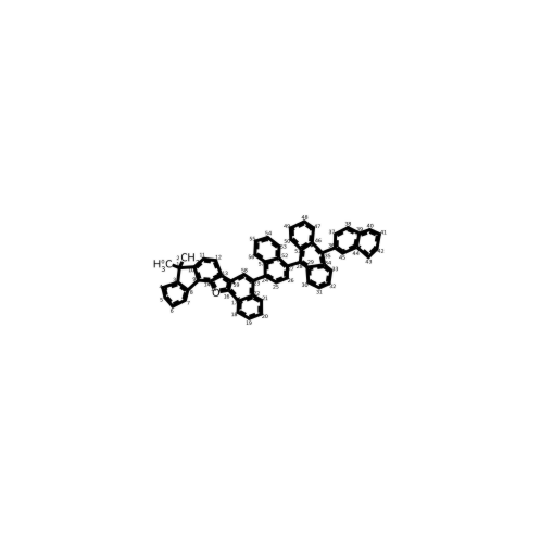 CC1(C)c2ccccc2-c2c1ccc1c2oc2c3ccccc3c(-c3ccc(-c4c5ccccc5c(-c5ccc6ccccc6c5)c5ccccc45)c4ccccc34)cc12